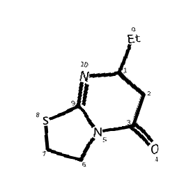 CCC1CC(=O)N2CCSC2=N1